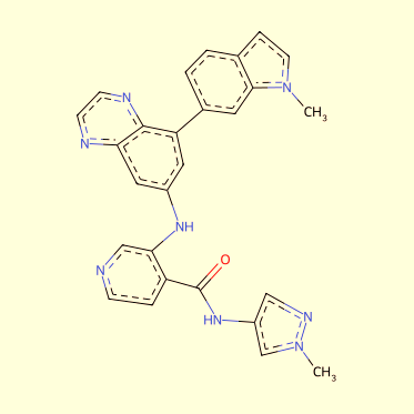 Cn1cc(NC(=O)c2ccncc2Nc2cc(-c3ccc4ccn(C)c4c3)c3nccnc3c2)cn1